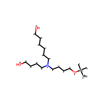 CC(C)(C)[Si](C)(C)OCCCCN(CCCCO)CCCCCCO